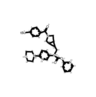 CC(C)(C)c1ccc(C(=O)N2CC3C(C2)C3CN(C(=O)Oc2ccccn2)c2ccc(N3CCOCC3)nc2)cc1